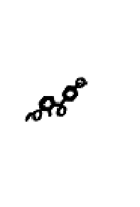 CCOc1cccc(C(=O)c2ccc(OC)cc2)c1C